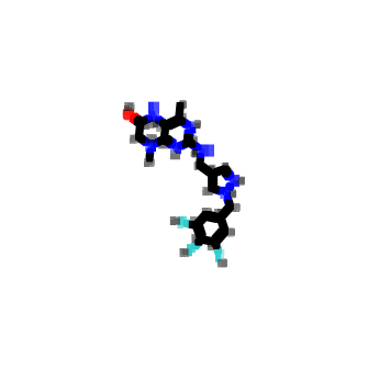 Cc1nc(NCc2cnn(Cc3cc(F)c(F)c(F)c3)c2)nc2c1NC(=O)CN2C